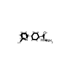 NNC(=O)[C@H]1CC[C@H](c2cccc(I)n2)CC1